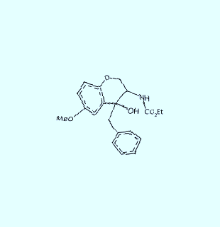 CCOC(=O)NC1COc2ccc(OC)cc2C1(O)Cc1ccccc1